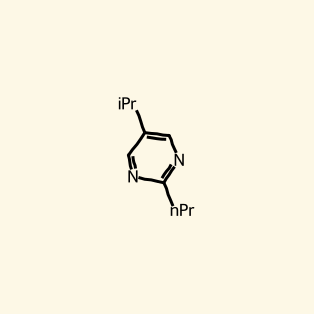 CCCc1ncc(C(C)C)cn1